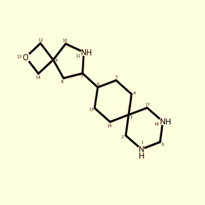 C1NCC2(CCC(C3CC4(CN3)COC4)CC2)CN1